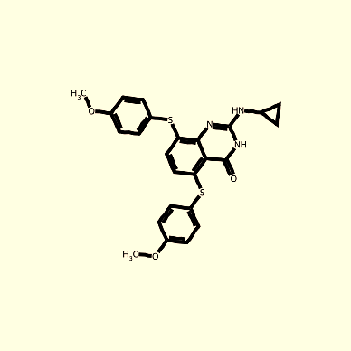 COc1ccc(Sc2ccc(Sc3ccc(OC)cc3)c3c(=O)[nH]c(NC4CC4)nc23)cc1